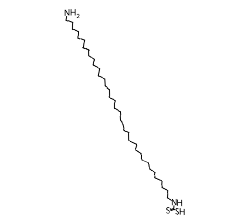 NCCCCCCCCCCCCCCCCCCCCCCCCCCCCCCCCCCCCCNC(=S)S